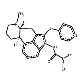 CCN(CC)C(=O)Nn1c(Sc2ccncc2)c2c3c(cccc31)[C@H]1CCCN(C)[C@@H]1C2